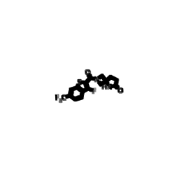 O=C1CCC2(CN(C(=O)c3sc4cc(C(F)(F)F)ccc4c3F)C2)N1